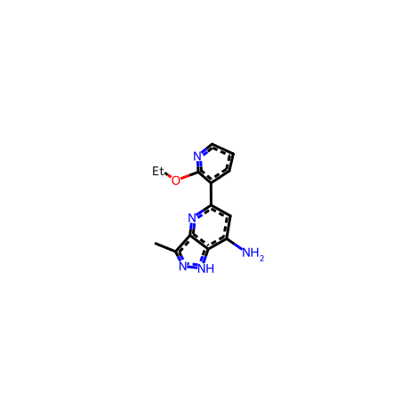 CCOc1ncccc1-c1cc(N)c2[nH]nc(C)c2n1